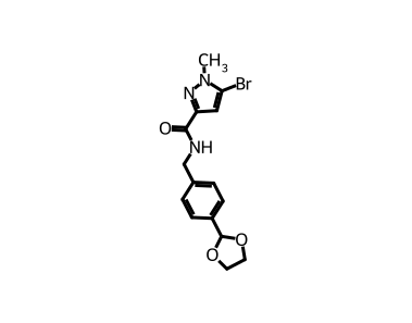 Cn1nc(C(=O)NCc2ccc(C3OCCO3)cc2)cc1Br